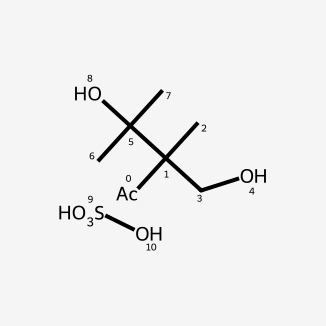 CC(=O)C(C)(CO)C(C)(C)O.O=S(=O)(O)O